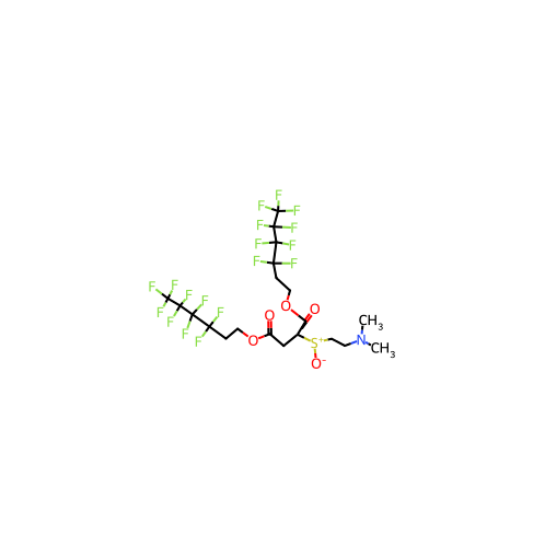 CN(C)CC[S+]([O-])C(CC(=O)OCCC(F)(F)C(F)(F)C(F)(F)C(F)(F)F)C(=O)OCCC(F)(F)C(F)(F)C(F)(F)C(F)(F)F